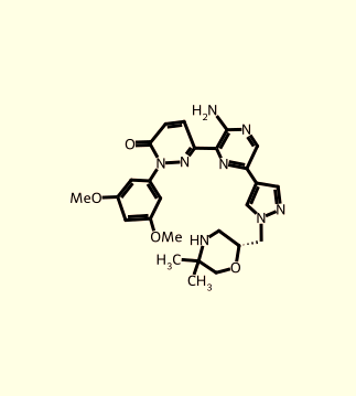 COc1cc(OC)cc(-n2nc(-c3nc(-c4cnn(C[C@H]5CNC(C)(C)CO5)c4)cnc3N)ccc2=O)c1